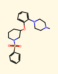 CN1CCN(c2ccccc2OC2CCCN(S(=O)(=O)c3ccccc3)C2)CC1